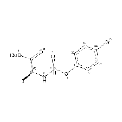 CC(C)COC(=O)[C@H](C)N[PH](=O)Oc1ccc(Br)cc1